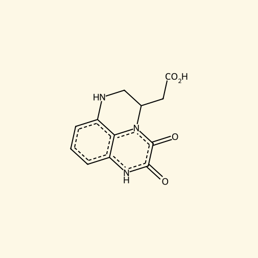 O=C(O)CC1CNc2cccc3[nH]c(=O)c(=O)n1c23